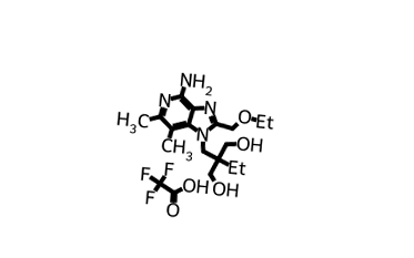 CCOCc1nc2c(N)nc(C)c(C)c2n1CC(CC)(CO)CO.O=C(O)C(F)(F)F